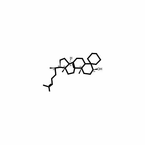 CC(C)=CCC[C@@H](C)[C@H]1CC[C@H]2C3=C(CC[C@]12C)[C@@]1(C)CC[C@H](O)C2(CCCCC2)C1CC3